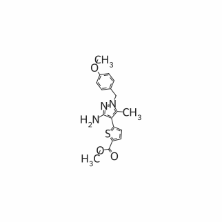 COC(=O)c1ccc(-c2c(N)nn(Cc3ccc(OC)cc3)c2C)s1